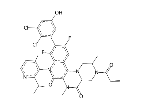 C=CC(=O)N1CC2C(=O)N(C)c3c(c4cc(F)c(-c5cc(O)cc(Cl)c5Cl)c(F)c4n(-c4c(C)ccnc4C(C)C)c3=O)N2CC1C